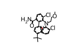 COCCN(c1ncccc1Cl)c1c(Cl)ccc(C(N)=O)c1-c1ccc(C(C)(C)C)cc1